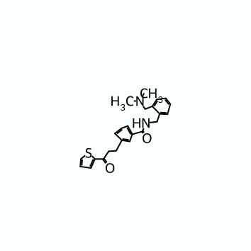 CN(C)Cc1ccccc1CNC(=O)c1cccc(CCC(=O)c2cccs2)c1